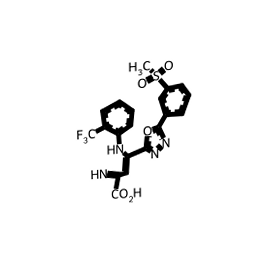 CS(=O)(=O)c1cccc(-c2nnc(/C(=C/C(=N)C(=O)O)Nc3ccccc3C(F)(F)F)o2)c1